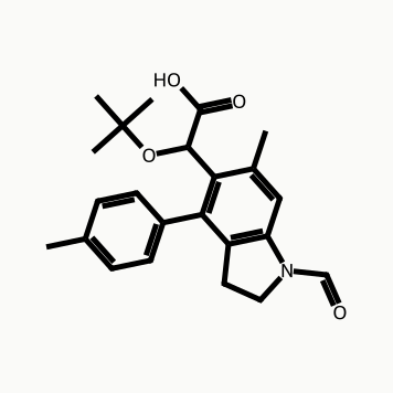 Cc1ccc(-c2c3c(cc(C)c2C(OC(C)(C)C)C(=O)O)N(C=O)CC3)cc1